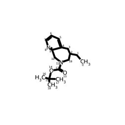 CCC1Cc2cccnc2CN(C(=O)OC(C)(C)C)C1